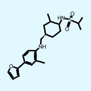 Cc1cc(-c2ccco2)ccc1NC[C@@H]1CCC(NS(=O)(=O)C(C)C)C(C)C1